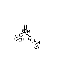 Cc1cccnc1-c1ccc(-c2n[nH]c3ncc(-c4ccc5c(c4)CC[C@@H](N[C@H]4CCCOC4)CC5)cc23)cc1